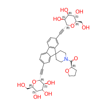 O=C([C@H]1CCCO1)N1CCC2(CC1)c1cc(C#C[C@H]3O[C@H](CO)[C@@H](O)[C@H](O)[C@@H]3O)ccc1-c1ccc(C#C[C@H]3O[C@H](CO)[C@@H](O)C(O)[C@@H]3O)cc12